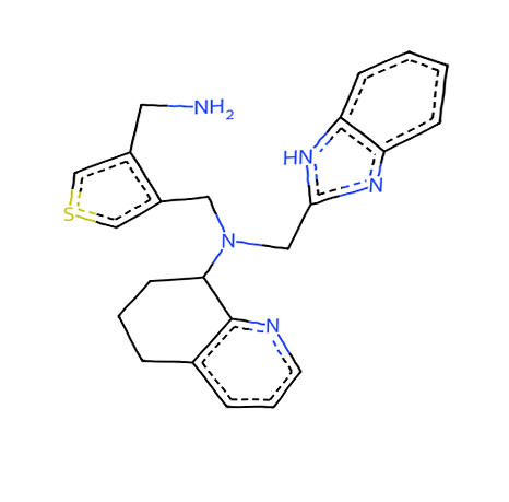 NCc1cscc1CN(Cc1nc2ccccc2[nH]1)C1CCCc2cccnc21